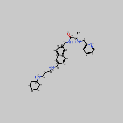 C[C@H](NCc1ccccn1)C(=O)NCc1ccc2cc(CNCCCNC3CCCCC3)ccc2c1